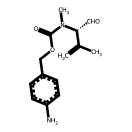 C=C(C)[C@@H](C=O)N(C)C(=O)OCc1ccc(N)cc1